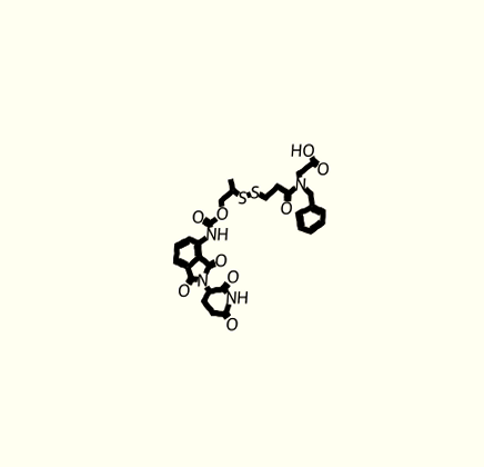 CC(COC(=O)Nc1cccc2c1C(=O)N(C1CCC(=O)NC1=O)C2=O)SSCCC(=O)N(CC(=O)O)Cc1ccccc1